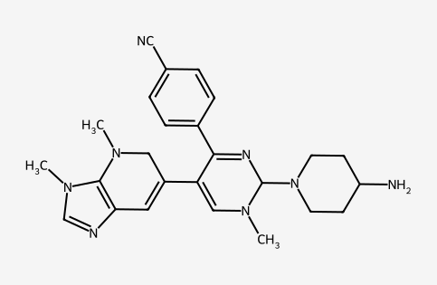 CN1CC(C2=CN(C)C(N3CCC(N)CC3)N=C2c2ccc(C#N)cc2)=Cc2ncn(C)c21